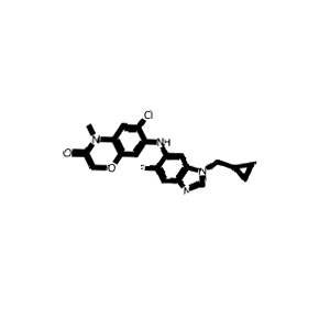 CN1C(=O)COc2cc(Nc3cc4c(cc3F)ncn4CC3CC3)c(Cl)cc21